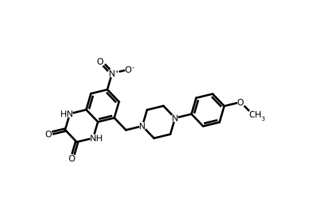 COc1ccc(N2CCN(Cc3cc([N+](=O)[O-])cc4[nH]c(=O)c(=O)[nH]c34)CC2)cc1